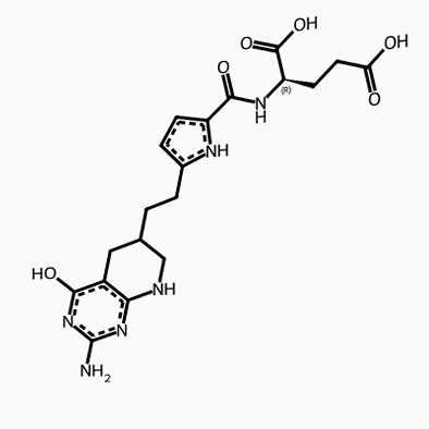 Nc1nc(O)c2c(n1)NCC(CCc1ccc(C(=O)N[C@H](CCC(=O)O)C(=O)O)[nH]1)C2